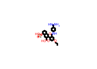 CCCOc1ccc(-c2cc3ccccc3cc2C(=O)O)c(C(=O)Nc2ccc(C(=N)N)cc2)c1.CS(=O)(=O)O